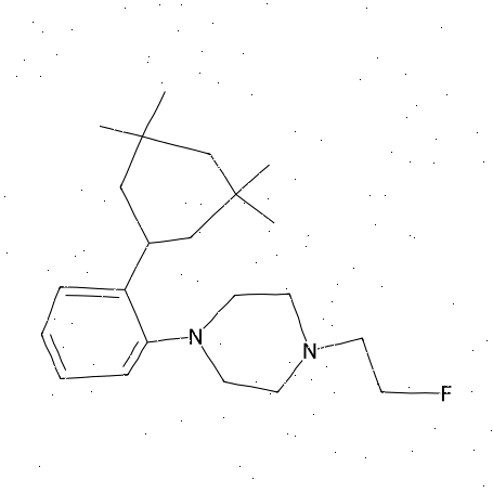 CC1(C)CC(c2ccccc2N2CCN(CCF)CC2)CC(C)(C)C1